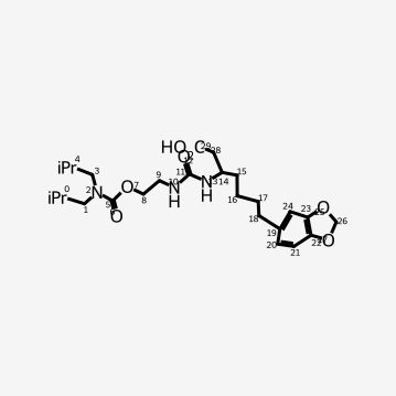 CC(C)CN(CC(C)C)C(=O)OCCNC(=O)NC(CCCCc1ccc2c(c1)OCO2)CC(=O)O